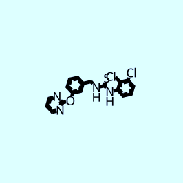 S=C(NCc1cccc(Oc2ncccn2)c1)Nc1cccc(Cl)c1Cl